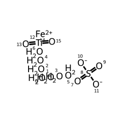 O.O.O.O.O.O.O.O=S(=O)([O-])[O-].[Fe+2].[O]=[Ti]=[O]